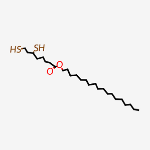 CCCCCCCCCCCCCCCCCCOC(=O)CCCCC(S)CCS